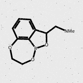 CNCC1OB2OCCOc3cccc1c32